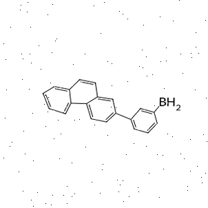 Bc1cccc(-c2ccc3c(ccc4ccccc43)c2)c1